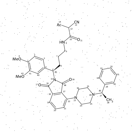 COc1ccc([C@@H](CCCNC(=O)C(C#N)C(C)=O)N2C(=O)c3cccc(N4CCN([C@H](C)c5ccccc5)CC4)c3C2=O)cc1OC